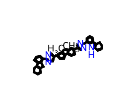 CC1(C)c2cc(-c3cnc(-c4cccc5c4CC4=C5CCC=C4)nc3)ccc2-c2ccc(-c3cnc(-c4cccc5c6c([nH]c45)C=CCC6)nc3)cc21